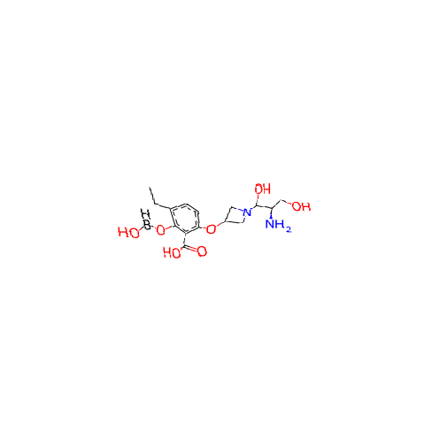 CCc1ccc(OC2CN(C(O)[C@H](N)CO)C2)c(C(=O)O)c1OBO